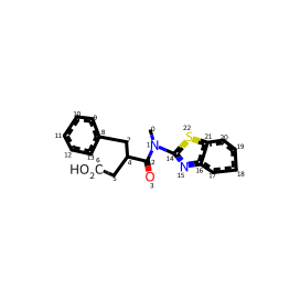 CN(C(=O)C(CC(=O)O)Cc1ccccc1)c1nc2ccccc2s1